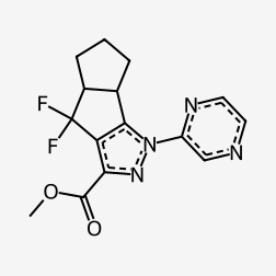 COC(=O)c1nn(-c2cnccn2)c2c1C(F)(F)C1CCCC21